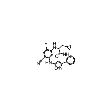 N#Cc1cc(F)c(NC(CC2CC2)C(N)=O)cc1Nc1cc(-c2ccccc2)no1